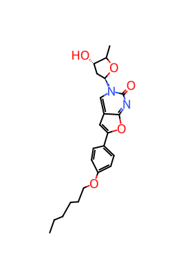 CCCCCCOc1ccc(-c2cc3cn([C@H]4C[C@H](O)C(C)O4)c(=O)nc3o2)cc1